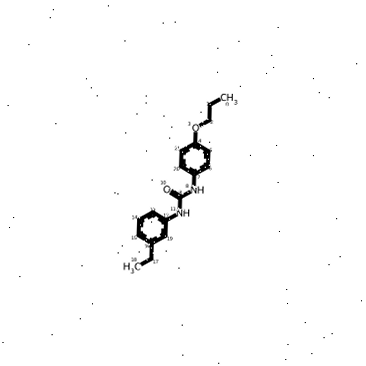 CCCOc1ccc(NC(=O)Nc2cccc(CC)c2)cc1